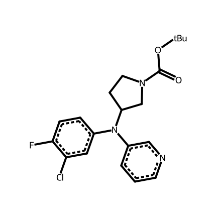 CC(C)(C)OC(=O)N1CCC(N(c2cccnc2)c2ccc(F)c(Cl)c2)C1